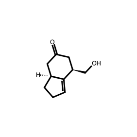 O=C1C[C@@H](CO)C2=CCC[C@H]2C1